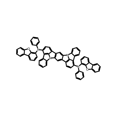 c1ccc(N(c2cccc3c2oc2ccccc23)c2ccc3c4cc5c(cc4n4c6ccccc6c2c34)c2ccc(N(c3ccccc3)c3cccc4c3oc3ccccc34)c3c4ccccc4n5c23)cc1